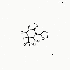 COC(=O)C1(F)C(=O)NC(=O)N(C2CCCO2)C1OC(C)=O